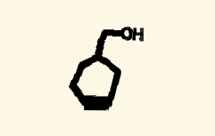 OCC1CC#CCC1